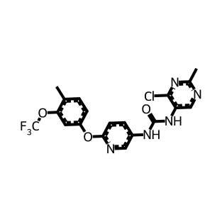 Cc1ncc(NC(=O)Nc2ccc(Oc3ccc(C)c(OC(F)(F)F)c3)nc2)c(Cl)n1